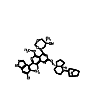 COc1nc(-c2c(C)c(Cl)cc3[nH]ncc23)c(F)c2nc(OC[C@]34CCC[C@H]3N(C3CC5CCC(C3)O5)CCC4)nc(N3CCOC[C@@](C)(O)C3)c12